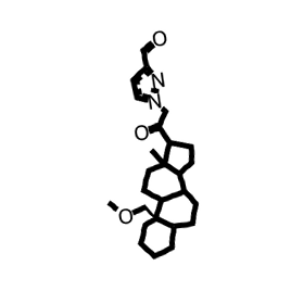 COC[C@]12CCCCC1CCC1C3CCC(C(=O)Cn4ccc(C=O)n4)C3(C)CCC12